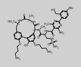 Cc1nc(-c2ccc(C(C)(C)C)cc2CO)nc(N)c1C(=O)N[C@@H](CNS(N)(=O)=O)C(=O)N(C)[C@@H]1C(=O)N[C@@H](C)C(=O)N[C@H](C(=O)O)Cc2ccc(OCCCN)c(c2)-c2cc1cc(OCCCN)c2O